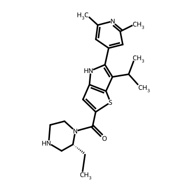 CC[C@@H]1CNCCN1C(=O)c1cc2[nH]c(-c3cc(C)nc(C)c3)c(C(C)C)c2s1